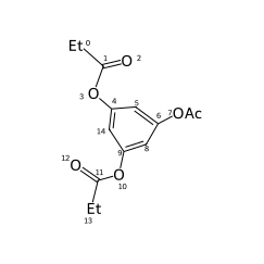 CCC(=O)Oc1cc(OC(C)=O)cc(OC(=O)CC)c1